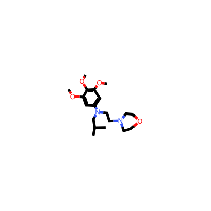 COc1cc(N(CCN2CCOCC2)CC(C)C)cc(OC)c1OC